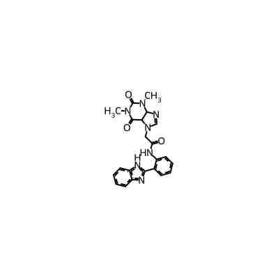 CN1C(=O)C2C(N=CN2CC(=O)Nc2ccccc2-c2nc3ccccc3[nH]2)N(C)C1=O